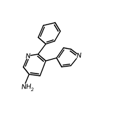 Nc1cnc(-c2ccccc2)c(-c2ccncc2)c1